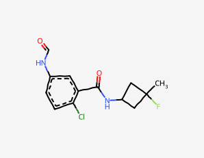 CC1(F)CC(NC(=O)c2cc(NC=O)ccc2Cl)C1